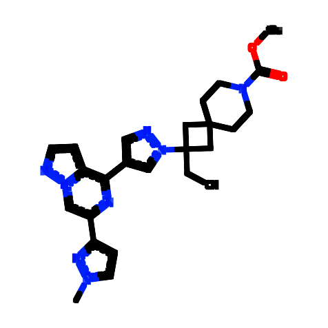 Cn1ccc(-c2cn3nccc3c(-c3cnn(C4(CC#N)CC5(CCN(C(=O)OC(C)(C)C)CC5)C4)c3)n2)n1